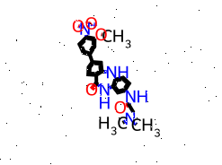 COc1cc(-c2ccc3c(c2)Nc2ccc(NC(=O)CN(C)C)cc2NC3=O)ccc1[N+](=O)[O-]